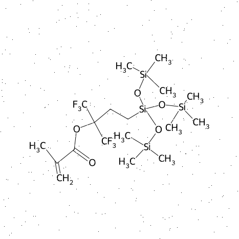 C=C(C)C(=O)OC(CC[Si](O[Si](C)(C)C)(O[Si](C)(C)C)O[Si](C)(C)C)(C(F)(F)F)C(F)(F)F